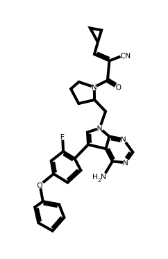 N#CC(=CC1CC1)C(=O)N1CCCC1Cn1cc(-c2ccc(Oc3ccccc3)cc2F)c2c(N)ncnc21